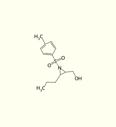 CCCC1C(CO)N1S(=O)(=O)c1ccc(C)cc1